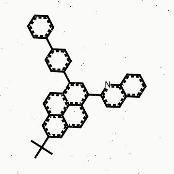 CC(C)(C)c1cc2ccc3c(-c4ccc(-c5ccccc5)cc4)cc(-c4ccc5ccccc5n4)c4ccc(c1)c2c34